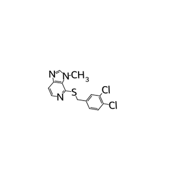 Cn1cnc2ccnc(SCc3ccc(Cl)c(Cl)c3)c21